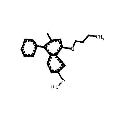 CCCCOc1cc(I)c(-c2ccccc2)c2ccc(OC)cc12